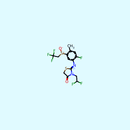 Cc1cc(F)c(/N=C2\SCC(=O)N2CC(F)F)cc1[S+]([O-])CC(F)(F)F